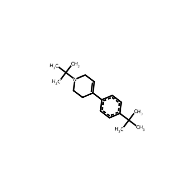 CC(C)(C)c1ccc(C2=CCN(C(C)(C)C)CC2)cc1